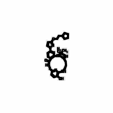 CC1(C)C[C@@H]2CCCNc3nc(ccc3O)SNC(=O)c3ccc(-n4ccc(OCCC5CCCC5)n4)nc3N1C2